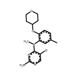 CN(c1cc(I)ccc1OC1CCOCC1)c1nc(N)ncc1Cl